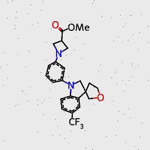 COC(=O)C1CN(c2cccc(N3CC4(CCOC4)c4cc(C(F)(F)F)ccc43)c2)C1